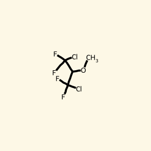 COC(C(F)(F)Cl)C(F)(F)Cl